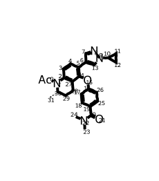 CC(=O)N1c2ccc(-c3cnn(C4CC4)c3)c(Oc3ccc(C(=O)N(C)C)cc3)c2CC[C@@H]1C